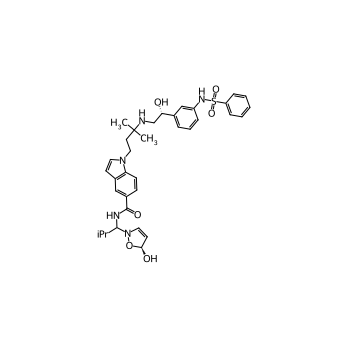 CC(C)C(NC(=O)c1ccc2c(ccn2CCC(C)(C)NC[C@H](O)c2cccc(NS(=O)(=O)c3ccccc3)c2)c1)N1C=C[C@@H](O)O1